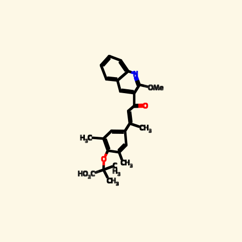 COc1nc2ccccc2cc1C(=O)/C=C(\C)c1cc(C)c(OC(C)(C)C(=O)O)c(C)c1